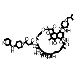 C/C1=C/C=C/[C@H](C)[C@H](O)[C@@H](C)C(O)[C@@H](C)C(OC(=O)CC(=O)N2CCC(Nc3cccnc3)CC2)CC/C=C/O[C@@]2(C)Oc3c(C)c(O)c4c(c3C2=O)C2=NC3(CCN(CC(C)C)CC3)NC2=C(NC1=O)C4=O